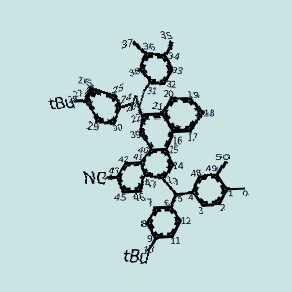 Cc1ccc(C(c2ccc(C(C)(C)C)cc2)c2cc3c4ccccc4c(N(c4ccc(C(C)(C)C)cc4)c4ccc(C)c(C)c4)cc3c3cc(C#N)ccc23)cc1C